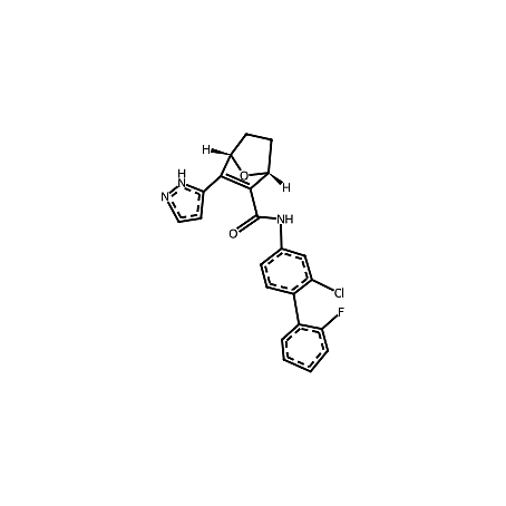 O=C(Nc1ccc(-c2ccccc2F)c(Cl)c1)C1=C(c2ccn[nH]2)[C@@H]2CC[C@H]1O2